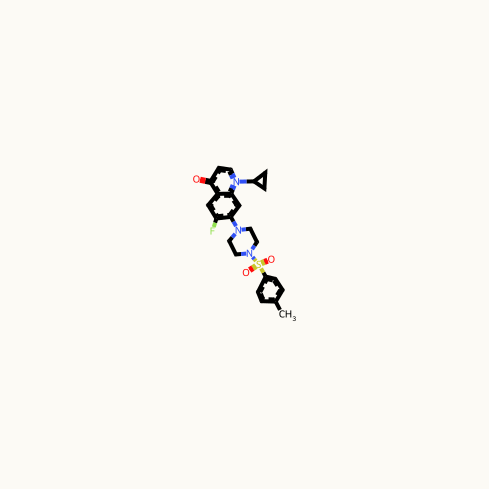 Cc1ccc(S(=O)(=O)N2CCN(c3cc4c(cc3F)c(=O)ccn4C3CC3)CC2)cc1